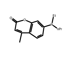 CCCN(CC)c1ccc2c(C)cc(=O)oc2c1